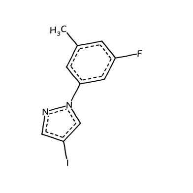 Cc1cc(F)cc(-n2cc(I)cn2)c1